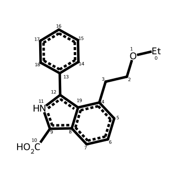 CCOCCc1cccc2c(C(=O)O)[nH]c(-c3ccccc3)c12